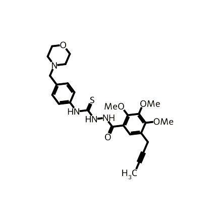 CC#CCc1cc(C(=O)NNC(=S)Nc2ccc(CN3CCOCC3)cc2)c(OC)c(OC)c1OC